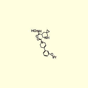 CC(C)Oc1cccc(C2=CCN(C(=O)[C@H]3NCC4(CC4)C[C@@H]3C(=O)NO)CC2)c1